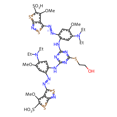 CCN(CC)c1cc(Nc2nc(Nc3cc(N(CC)CC)c(OC)cc3/N=N/c3snc4sc(S(=O)(=O)O)c(OC)c34)nc(SCCO)n2)c(/N=N/c2snc3sc(S(=O)(=O)O)c(OC)c23)cc1OC